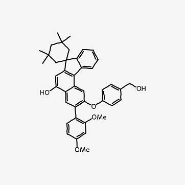 COc1ccc(-c2cc3c(O)cc4c(c3cc2Oc2ccc(CO)cc2)-c2ccccc2C42CC(C)(C)CC(C)(C)C2)c(OC)c1